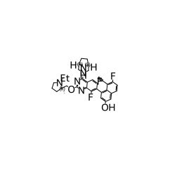 C#Cc1c(F)ccc2cc(O)cc(-c3c(F)cc4c(N5C[C@H]6CC[C@@H](C5)N6)nc(OC[C@@]5(C)CCCN5CC)nc4c3F)c12